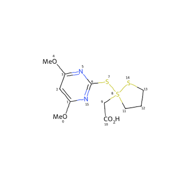 COc1cc(OC)nc(SS2(CC(=O)O)CCCS2)n1